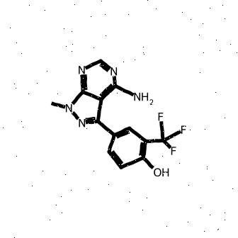 Cn1nc(-c2ccc(O)c(C(F)(F)F)c2)c2c(N)ncnc21